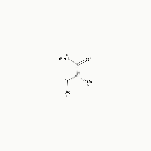 CCCCCC(=O)[C@@H](CC(C)=O)OC(C)=O